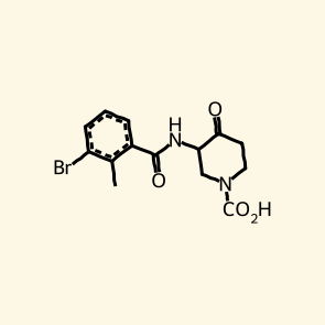 Cc1c(Br)cccc1C(=O)NC1CN(C(=O)O)CCC1=O